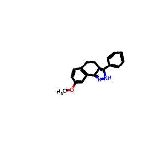 COc1ccc2c(c1)-c1n[nH]c(-c3ccccc3)c1CC2